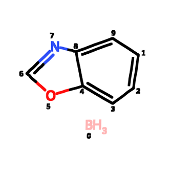 B.c1ccc2ocnc2c1